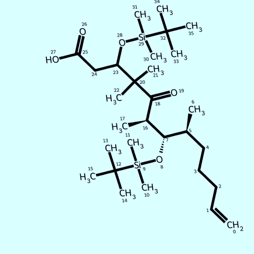 C=CCCC[C@H](C)[C@H](O[Si](C)(C)C(C)(C)C)[C@@H](C)C(=O)C(C)(C)C(CC(=O)O)O[Si](C)(C)C(C)(C)C